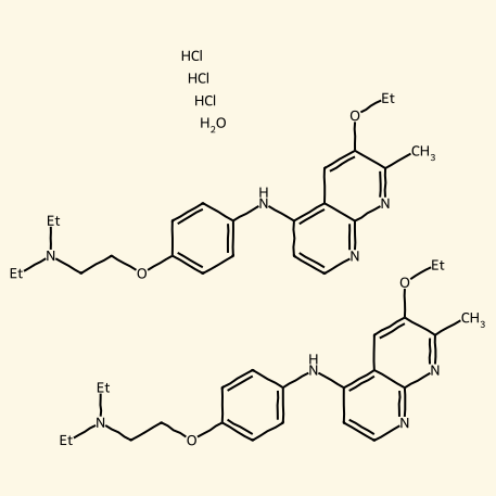 CCOc1cc2c(Nc3ccc(OCCN(CC)CC)cc3)ccnc2nc1C.CCOc1cc2c(Nc3ccc(OCCN(CC)CC)cc3)ccnc2nc1C.Cl.Cl.Cl.O